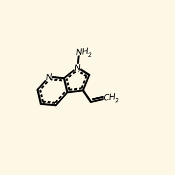 C=Cc1cn(N)c2ncccc12